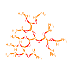 PPOP(OPP)P(OPP)OP(OPP)P(OP(OPP)P(OPP)OPP)OP(OPP)P(OPP)OPP